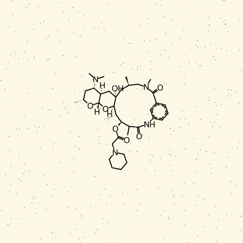 CC1C(=O)Nc2cccc(c2)C(=O)N(C)C[C@H](C)C[C@]2(O)C[C@H]3[C@@H](O[C@H](C)C[C@@H]3N(C)C)O[C@@H]2[C@@H](C)[C@@H]1OC(=O)CN1CCCCC1